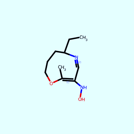 CCC1CCCO/C(C)=C(NO)/C=N\1